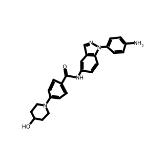 Nc1ccc(-n2ncc3cc(NC(=O)c4ccc(N5CCC(O)CC5)cc4)ccc32)cc1